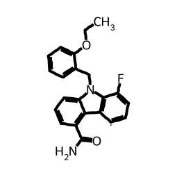 CCOc1ccccc1Cn1c2cccc(C(N)=O)c2c2[c]ccc(F)c21